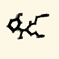 COCCNN(CCOC)N(C(C)=O)c1cccc(C#N)c1